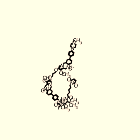 COc1c(OCCCOc2cn3c(c2OC)C=[N+]([O-])C2=CC=C(c4ccc(N5CCN(C)CC5)cc4)CC2C3)cn2c1C=[N+]([O-])C1=CC=C(c3ccc(NC(=O)C(C)(I)NC(=O)C(NC(=O)CCCCCN4C(=O)C=CC4=O)C(C)C)cc3)CC1C2